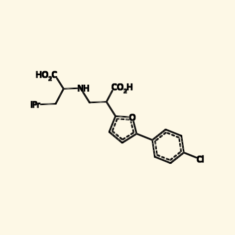 CC(C)CC(NCC(C(=O)O)c1ccc(-c2ccc(Cl)cc2)o1)C(=O)O